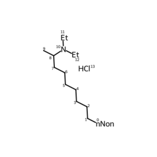 CCCCCCCCCCCCCCCCC(C)N(CC)CC.Cl